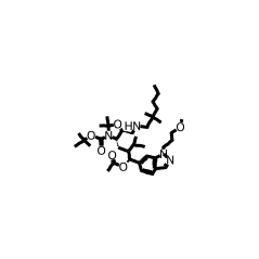 CCCCC(C)(C)CNC[C@@H]1OC(C)(C)N(C(=O)OC(C)(C)C)[C@H]1CC(C(C)C)[C@H](OC(C)=O)c1ccc2cnn(CCCOC)c2c1